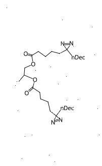 [CH2]C(COC(=O)CCCCC1(CCCCCCCCCC)N=N1)OC(=O)CCCCC1(CCCCCCCCCC)N=N1